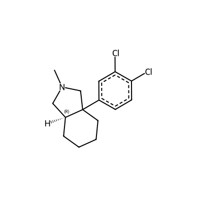 CN1C[C@@H]2CCCCC2(c2ccc(Cl)c(Cl)c2)C1